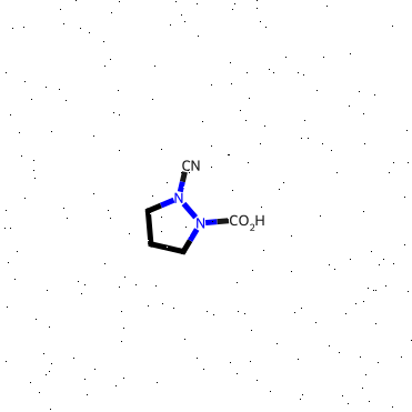 N#CN1CCCN1C(=O)O